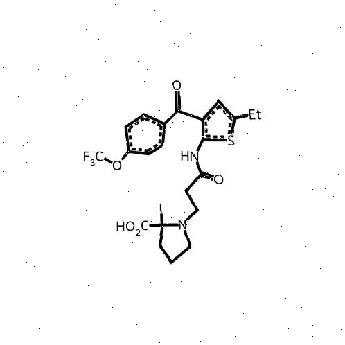 CCc1cc(C(=O)c2ccc(OC(F)(F)F)cc2)c(NC(=O)CCN2CCCC2(I)C(=O)O)s1